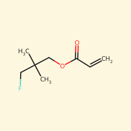 C=CC(=O)OCC(C)(C)CF